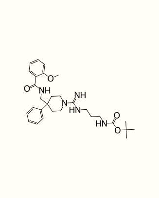 COc1ccccc1C(=O)NCC1(c2ccccc2)CCN(C(=N)NCCCNC(=O)OC(C)(C)C)CC1